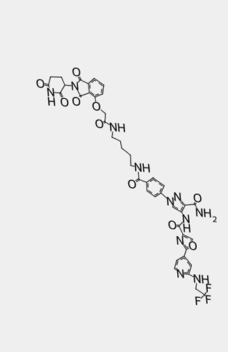 NC(=O)c1nn(-c2ccc(C(=O)NCCCCCNC(=O)COc3cccc4c3C(=O)N(C3CCC(=O)NC3=O)C4=O)cc2)cc1NC(=O)c1coc(-c2ccnc(NCC(F)(F)F)c2)n1